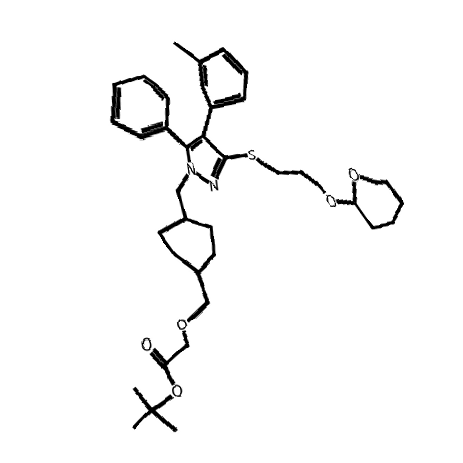 Cc1cccc(-c2c(SCCOC3CCCCO3)nn(CC3CCC(COCC(=O)OC(C)(C)C)CC3)c2-c2ccccc2)c1